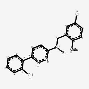 CCN(Cc1cc(Cl)ccc1OCC(C)C)c1ccc(-c2ccccc2O)nn1